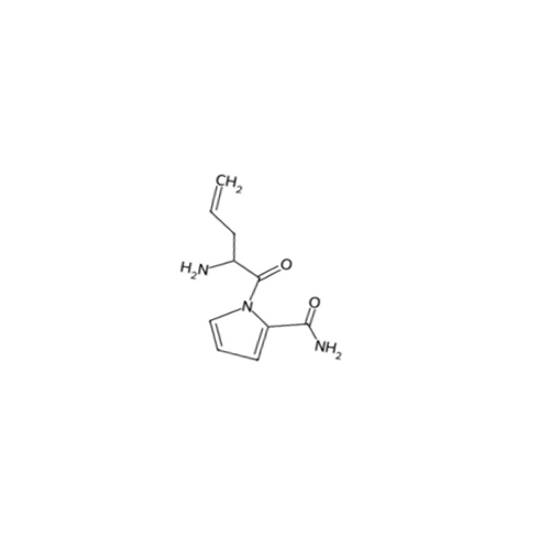 C=CCC(N)C(=O)n1cccc1C(N)=O